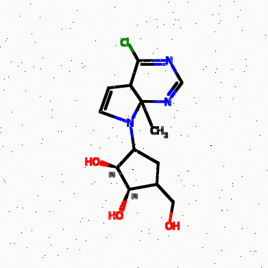 CC12N=CN=C(Cl)C1C=CN2C1CC(CO)[C@@H](O)[C@H]1O